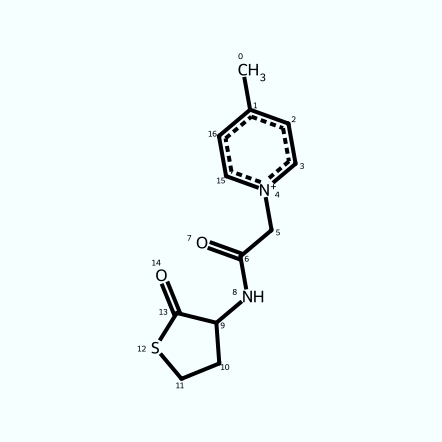 Cc1cc[n+](CC(=O)NC2CCSC2=O)cc1